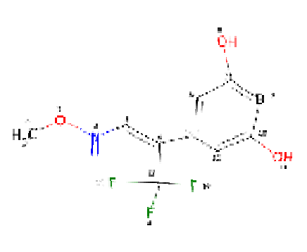 CON/C=C(/c1cc(O)bc(O)c1)C(F)(F)F